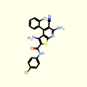 N#Cc1c(N)nc2sc(C(=O)Nc3ccc(Cl)cc3)c(N)c2c1-c1ccccc1Cl